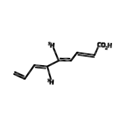 [3H]C(=CC=C)C([3H])=CC=CC(=O)O